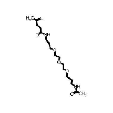 CC(=O)CCC(=O)NCCCOCCOCCOCCCNC(C)=O